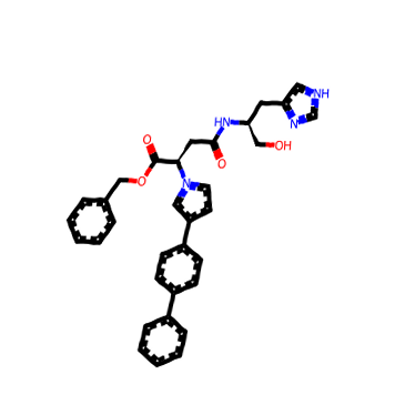 O=C(C[C@H](C(=O)OCc1ccccc1)n1ccc(-c2ccc(-c3ccccc3)cc2)c1)N[C@H](CO)Cc1c[nH]cn1